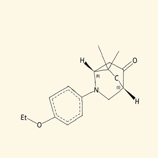 CCOc1ccc(N2C[C@@H]3CC(C)(C)[C@H]2CC3=O)cc1